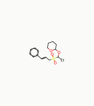 CCC(OC1CCCCO1)S(=O)(=O)CC=Cc1ccccc1